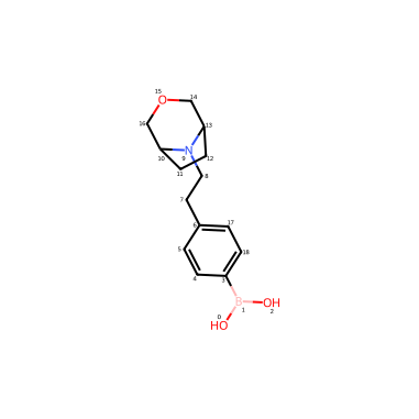 OB(O)c1ccc(CCN2C3CCC2COC3)cc1